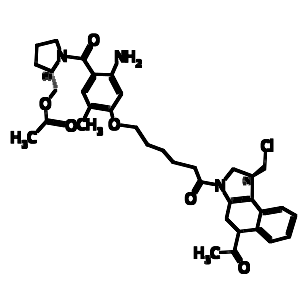 CC(=O)OC[C@@H]1CCCN1C(=O)c1cc(C)c(OCCCCCC(=O)N2C[C@@H](CCl)C3=C2CC(C(C)=O)c2ccccc23)cc1N